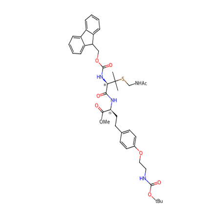 COC(=O)[C@H](CCc1ccc(OCCNC(=O)OC(C)(C)C)cc1)NC(=O)[C@@H](NC(=O)OCC1c2ccccc2-c2ccccc21)C(C)(C)SCNC(C)=O